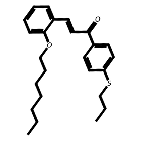 CCCCCCCOc1ccccc1C=CC(=O)c1ccc(SCCC)cc1